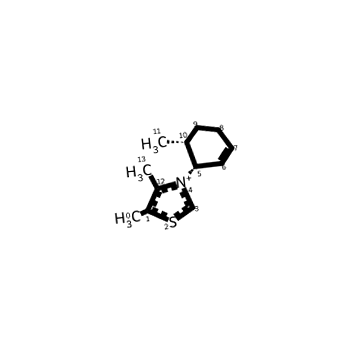 Cc1sc[n+]([C@H]2C=CCC[C@H]2C)c1C